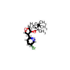 CC(C)(C)[Si](C)(C)OC1COCC1c1ccc(Br)cn1